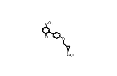 O=C(O)C1CC1COc1ccc(-c2cc(OC(F)(F)F)ccc2Cl)cc1